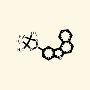 CC1(C)OB(c2ccc3oc4ccc5ccccc5c4c3c2)OC1(C)C